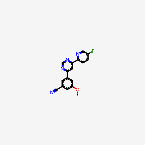 COc1cc(C#N)cc(-c2cc(-c3ccc(F)cn3)ncn2)c1